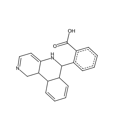 O=C(O)c1ccccc1C1NC2=CC=NCC2C2C=CC=CC12